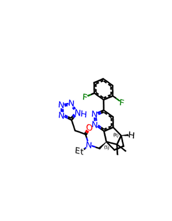 CCN(C[C@@]12CC[C@@H](c3cc(-c4c(F)cccc4F)nnc31)C2(C)C)C(=O)Cc1nnn[nH]1